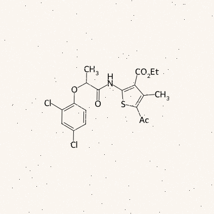 CCOC(=O)c1c(NC(=O)C(C)Oc2ccc(Cl)cc2Cl)sc(C(C)=O)c1C